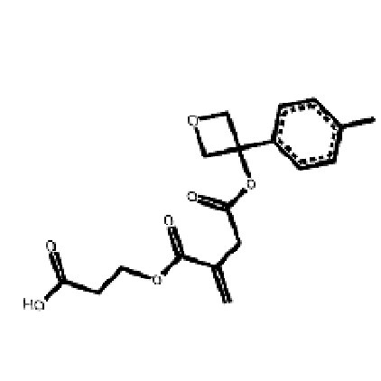 C=C(CC(=O)OC1(c2ccc(C)cc2)COC1)C(=O)OCCC(=O)O